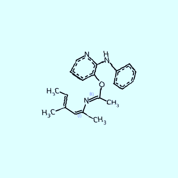 CC=C(C)/C=C(C)\N=C(/C)Oc1cccnc1Nc1ccccc1